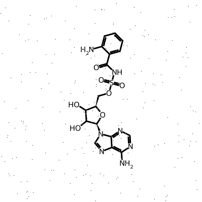 Nc1ccccc1C(=O)NS(=O)(=O)OC[C@H]1O[C@@H](n2cnc3c(N)ncnc32)C(O)C1O